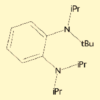 CC(C)N(c1ccccc1N(C(C)C)C(C)(C)C)C(C)C